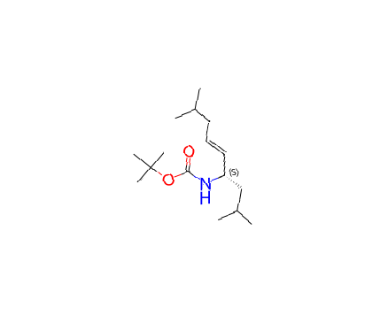 CC(C)CC=C[C@H](CC(C)C)NC(=O)OC(C)(C)C